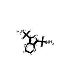 CC(C)(N)c1sc(C(C)(C)N)c2c1OCCO2